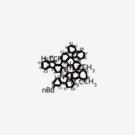 CCCCc1ccc(N2c3cc4c(c5c3B(c3c2sc2cc6c(cc32)C(C)(C)CCC6(C)C)N2c3ccccc3C(c3ccccc3)(c3ccccc3)c3cccc-5c32)C(C)(C)c2ccccc2-4)c(-c2ccccc2)c1